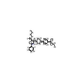 CCCCN(C)C(=O)C(C)(/C=C/c1ccccc1)N1CCN(c2ncc(C(=O)OCC)cn2)CC1